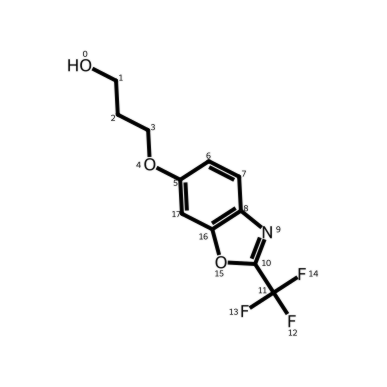 OCCCOc1ccc2nc(C(F)(F)F)oc2c1